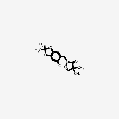 CC1(C)Oc2cc(Cl)c(CN3OCC(C)(C)C3=O)cc2O1